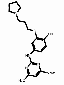 CNc1cc(C)nc(Nc2ccc(C#N)c(OCCCN3CCCC3)c2)n1